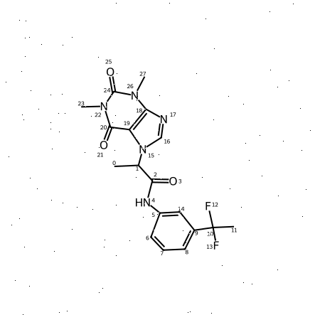 CC(C(=O)Nc1cccc(C(C)(F)F)c1)n1cnc2c1c(=O)n(C)c(=O)n2C